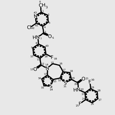 Cc1ccc(C(=O)Nc2ccc(C(=O)N3CCc4cc(C(=O)Nc5c(F)cccc5F)sc4-c4sccc43)c(F)c2)c(Cl)n1